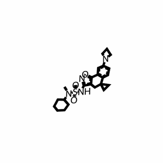 CN(C1CCCCC1)S(=O)(=O)Nc1noc2c1CC1(CC1)c1ccc(N3CCC3)cc1-2